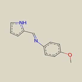 COc1ccc(/N=C/c2ccc[nH]2)cc1